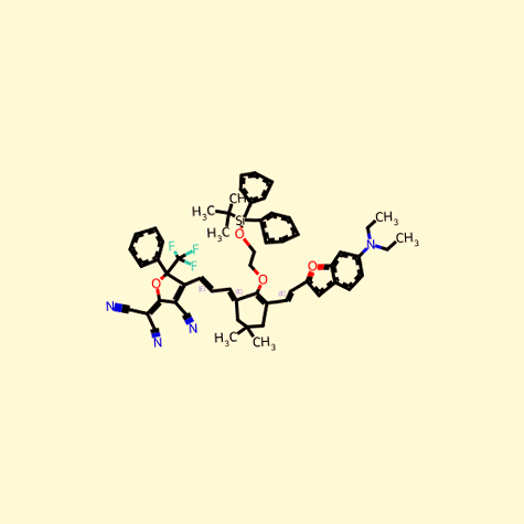 CCN(CC)c1ccc2cc(/C=C/C3=C(OCCO[Si](c4ccccc4)(c4ccccc4)C(C)(C)C)C(=C/C=C/C4=C(C#N)C(=C(C#N)C#N)OC4(c4ccccc4)C(F)(F)F)/CC(C)(C)C3)oc2c1